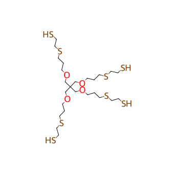 SCCSCCCOCC(COCCCSCCS)(COCCCSCCS)COCCCSCCS